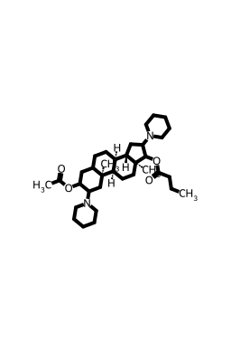 CCCC(=O)OC1C(N2CCCCC2)C[C@H]2[C@@H]3CCC4CC(OC(C)=O)C(N5CCCCC5)C[C@]4(C)[C@@H]3CC[C@]12C